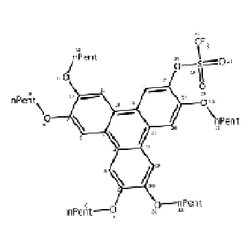 CCCCCOc1cc2c3cc(OCCCCC)c(OCCCCC)cc3c3cc(OS(=O)(=O)C(F)(F)F)c(OCCCCC)cc3c2cc1OCCCCC